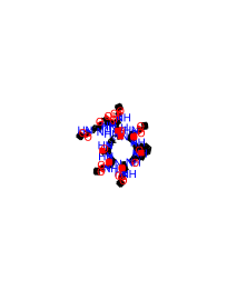 CC[C@@H]1NC(=O)[C@H](CCNC(=O)OC(C)(C)C)NC(=O)[C@H](CCNC(=O)OC(C)(C)C)NC(=O)[C@H](CC(C)C)NC(=O)[C@@H](Cc2ccccc2)NC(=O)[C@H](CCNC(=O)OC(C)(C)C)NC(=O)[C@@H](NC(=O)[C@H](CCNC(=O)OC(C)(C)C)NC(=O)[C@@H](NC(=O)[C@@H](N)CCNC(=O)OC(C)(C)C)[C@@H](C)O)CCNC1=O